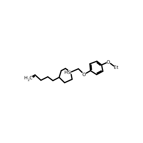 C=CCCCC1CC[SiH](COc2ccc(OCC)cc2)CC1